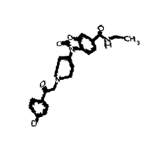 CCNC(=O)c1ccc2c(c1)oc(=O)n2C1CCN(CC(=O)c2ccc(Cl)cc2)CC1